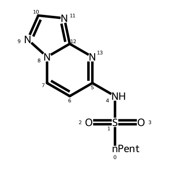 CCCCCS(=O)(=O)Nc1ccn2ncnc2n1